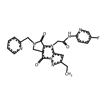 CCc1cc2n(CC(=O)Nc3ccc(F)cn3)c3c(c(=O)n2n1)CN(Cc1ccccn1)C3=O